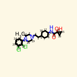 CC1CN(CCC2CCC(NC(=O)C3(O)CC3)CC2)CCN1c1cccc(Cl)c1Cl